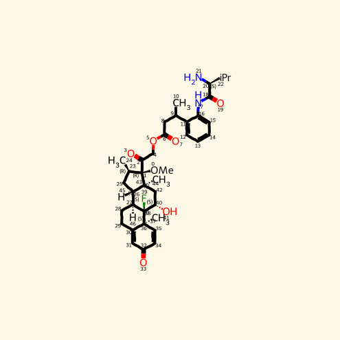 CO[C@]1(C(=O)COC(=O)CC(C)c2ccccc2NC(=O)[C@@H](N)C(C)C)[C@H](C)C[C@H]2[C@@H]3CCC4=CC(=O)C=C[C@]4(C)[C@@]3(F)[C@@H](O)C[C@@]21C